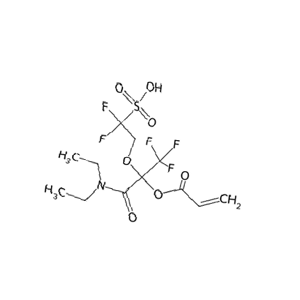 C=CC(=O)OC(OCC(F)(F)S(=O)(=O)O)(C(=O)N(CC)CC)C(F)(F)F